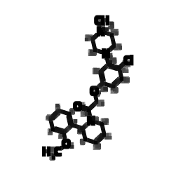 COc1ccccc1C1CC=CCN1C(=O)COc1ccc(Cl)c(N2CCN(C)CC2)c1